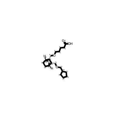 O=C(O)CCCCOC[C@@H]1[C@H](COCC2CCCC2)[C@@H]2CC[C@H]1O2